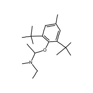 CCN(C)C(C)Oc1c(C(C)(C)C)cc(C)cc1C(C)(C)C